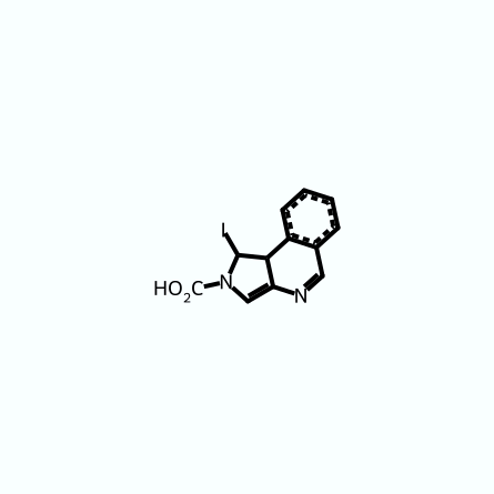 O=C(O)N1C=C2N=Cc3ccccc3C2C1I